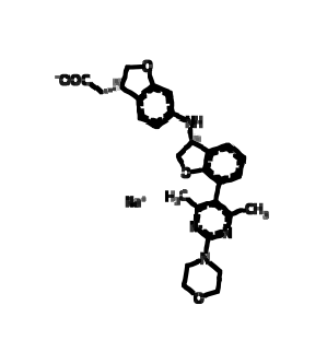 Cc1nc(N2CCOCC2)nc(C)c1-c1cccc2c1OC[C@H]2Nc1ccc2c(c1)OC[C@H]2CC(=O)[O-].[Na+]